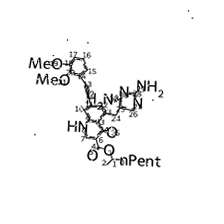 CCCCCC(C)OC(=O)c1c[nH]c2cc(C#Cc3cccc(OC)c3OC)cc(Cc3cnc(N)nc3N)c2c1=O